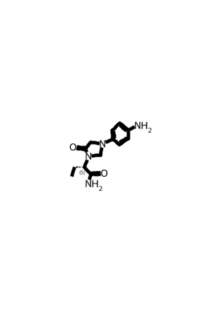 CC[C@@H](C(N)=O)N1CN(c2ccc(N)cc2)CC1=O